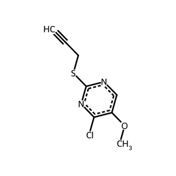 C#CCSc1ncc(OC)c(Cl)n1